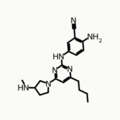 CCCCc1cc(N2CCC(NC)C2)nc(Nc2ccc(N)c(C#N)c2)n1